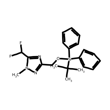 Cn1nc(CO[Si](c2ccccc2)(c2ccccc2)C(C)(C)C)nc1C(F)F